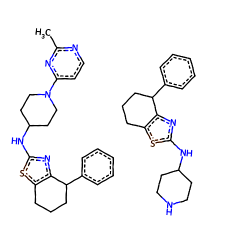 Cc1nccc(N2CCC(Nc3nc4c(s3)CCCC4c3ccccc3)CC2)n1.c1ccc(C2CCCc3sc(NC4CCNCC4)nc32)cc1